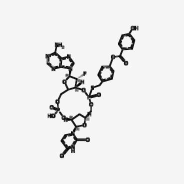 Nc1ncnc2c1ncn2[C@@H]1OC2COP(=O)(O)O[C@@H]3C[C@@H](COP(=O)(SCc4ccc(OC(=O)c5ccc(O)cc5)cc4)O[C@H]2[C@H]1F)O[C@H]3n1ccc(=O)[nH]c1=O